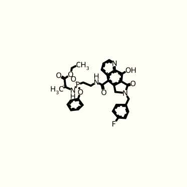 CCOC(=O)[C@H](C)NP(=O)(CCNC(=O)c1c2c(c(O)c3ncccc13)C(=O)N(Cc1ccc(F)cc1)C2)Oc1ccccc1